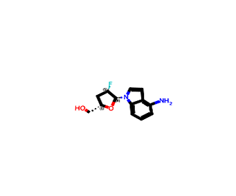 Nc1cccc2c1ccn2[C@@H]1O[C@H](CO)C[C@@H]1F